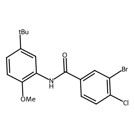 COc1ccc(C(C)(C)C)cc1NC(=O)c1ccc(Cl)c(Br)c1